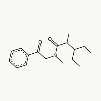 CCC(CC)C(C)C(=O)N(C)CC(=O)c1ccccc1